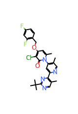 Cc1cnc(-c2nc(C(C)(C)C)ncc2C)cc1-n1c(C)cc(OCc2ccc(F)cc2F)c(Cl)c1=O